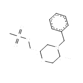 C[C@@H]1CO[C@H](COS(C)(=O)=O)CN1Cc1ccccc1